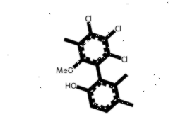 COc1c(C)c(Cl)c(Cl)c(Cl)c1-c1c(O)ccc(C)c1C